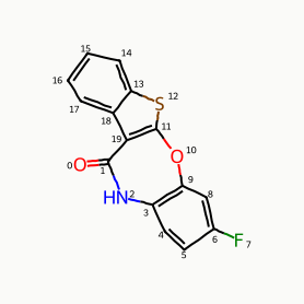 O=C1Nc2ccc(F)cc2Oc2sc3ccccc3c21